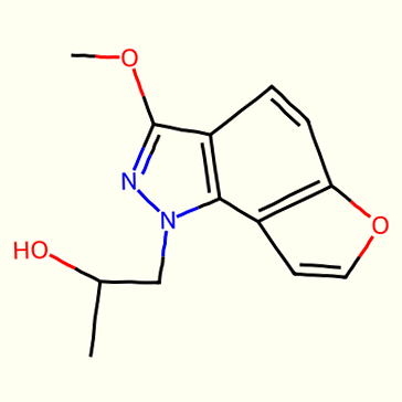 COc1nn(CC(C)O)c2c1ccc1occc12